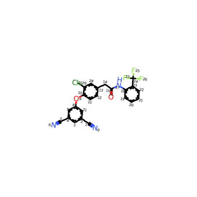 N#Cc1cc(C#N)cc(Oc2ccc(CC(=O)Nc3ccccc3C(F)(F)F)cc2Cl)c1